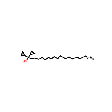 CCCCCCCCCCCCCCCCCC(O)(C1CC1)C1CC1